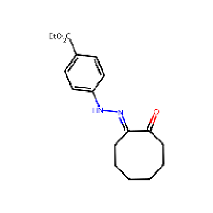 CCOC(=O)c1ccc(N/N=C2\CCCCCCC2=O)cc1